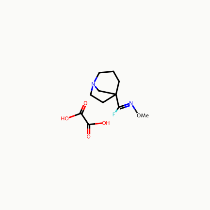 CON=C(F)C12CCCN(CC1)C2.O=C(O)C(=O)O